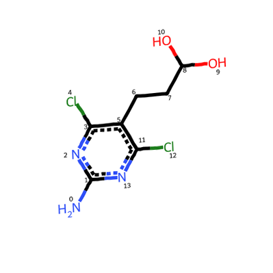 Nc1nc(Cl)c(CCC(O)O)c(Cl)n1